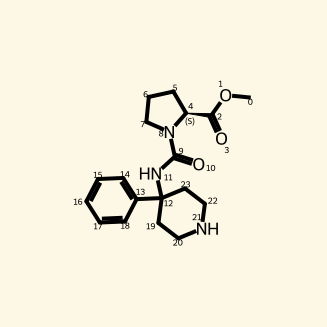 COC(=O)[C@@H]1CCCN1C(=O)NC1(c2ccccc2)CCNCC1